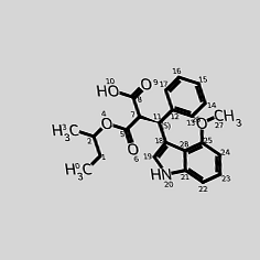 CCC(C)OC(=O)C(C(=O)O)[C@@H](c1ccccc1)c1c[nH]c2cccc(OC)c12